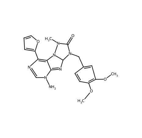 COc1ccc(CN2C(=O)N(C)N3C4=C(c5ccco5)N=CN(N)C4=NC23)cc1OC